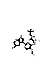 CCOc1cnc(-c2c[nH]c3ncc(Cl)cc23)nc1N[C@@H](C)C(=O)NCC(F)(F)F